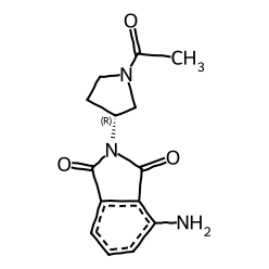 CC(=O)N1CC[C@@H](N2C(=O)c3cccc(N)c3C2=O)C1